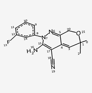 CC1(C)C=C2C(=NN(c3cccc(F)c3)C(N)=C2C#N)CO1